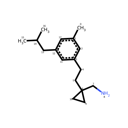 Cc1cc(CCC2(CN)CC2)cc(CC(C)C)c1